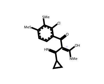 CN/C(O)=C(\C(=N)C1CC1)C(=O)c1ccc(SC)c(SC)c1Cl